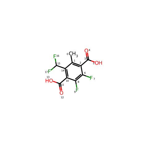 Cc1c(C(=O)O)c(F)c(F)c(C(=O)O)c1C(F)F